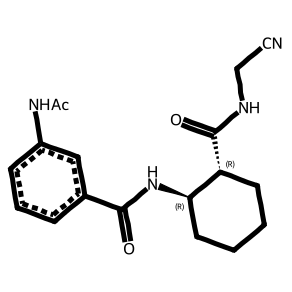 CC(=O)Nc1cccc(C(=O)N[C@@H]2CCCC[C@H]2C(=O)NCC#N)c1